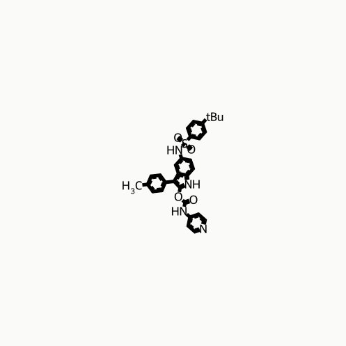 Cc1ccc(-c2c(OC(=O)Nc3ccncc3)[nH]c3ccc(NS(=O)(=O)c4ccc(C(C)(C)C)cc4)cc23)cc1